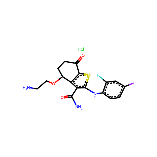 Cl.NCCOC1CCC(=O)c2sc(Nc3ccc(I)cc3F)c(C(N)=O)c21